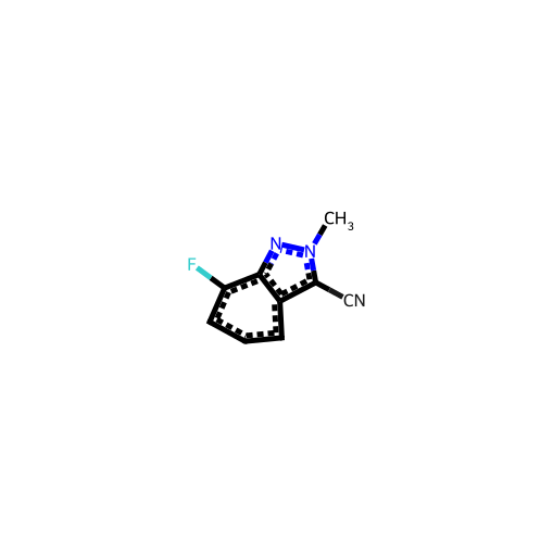 Cn1nc2c(F)cccc2c1C#N